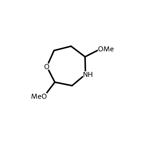 COC1CCOC(OC)CN1